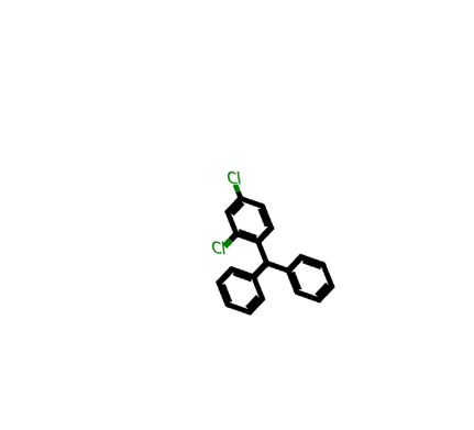 Clc1ccc([C](c2ccccc2)c2ccccc2)c(Cl)c1